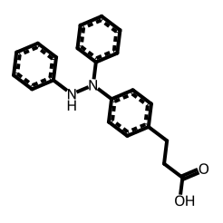 O=C(O)CCc1ccc(N(Nc2ccccc2)c2ccccc2)cc1